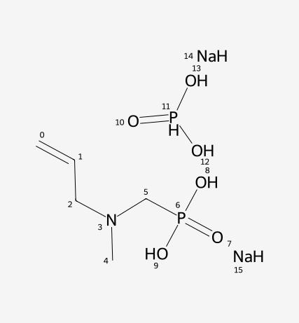 C=CCN(C)CP(=O)(O)O.O=[PH](O)O.[NaH].[NaH]